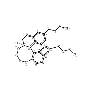 OCCCc1ccc2c(c1)=CC[C@@H]1OCCOc3ccc4cc(CCCO)ccc4c3C=21